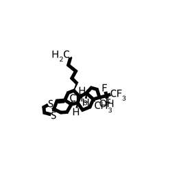 C=CCCCC[C@@H]1CC2=CC3(CC[C@]2(C)[C@H]2CC[C@@]4(C)[C@@H](CC[C@@]4(O)C(F)(F)C(F)(F)F)[C@H]12)SCCS3